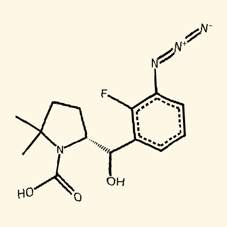 CC1(C)CC[C@H](C(O)c2cccc(N=[N+]=[N-])c2F)N1C(=O)O